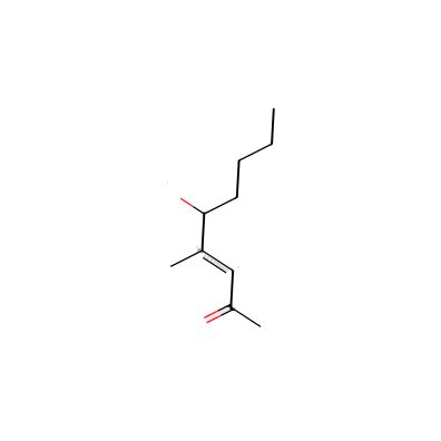 CCCCC(O)C(C)=CC(C)=O